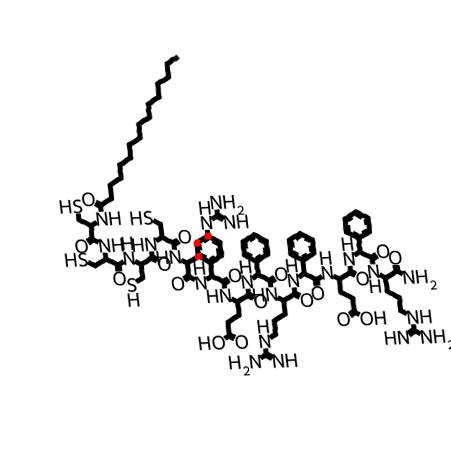 CCCCCCCCCCCCCCCC(=O)NC(CS)C(=O)NC(CS)C(=O)NC(CS)C(=O)NC(CS)C(=O)NC(CCCNC(=N)N)C(=O)NC(C(=O)NC(CCC(=O)O)C(=O)NC(C(=O)NC(CCCNC(=N)N)C(=O)NC(C(=O)NC(CCC(=O)O)C(=O)NC(C(=O)NC(CCCNC(=N)N)C(N)=O)c1ccccc1)c1ccccc1)c1ccccc1)c1ccccc1